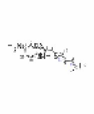 C/C(F)=C\C=C(/C)SCc1nc2cc(N)ccc2[nH]1